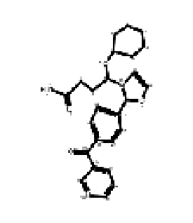 NC(=O)CCC(OC1CCCCC1)N1C=COC1c1ccc(C(=O)c2cccnc2)cc1